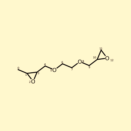 CC1OC1COCCOCC1CO1